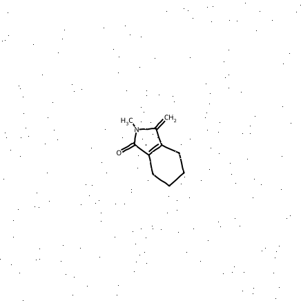 C=C1C2=C(CCCC2)C(=O)N1C